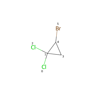 ClC1(Cl)CC1Br